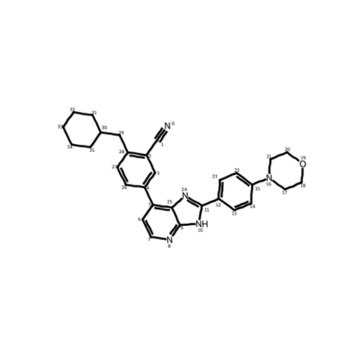 N#Cc1cc(-c2ccnc3[nH]c(-c4ccc(N5CCOCC5)cc4)nc23)ccc1CC1CCCCC1